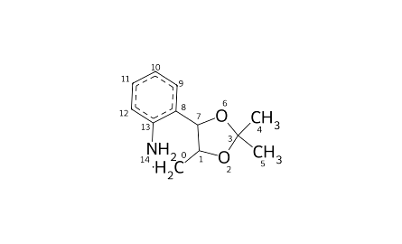 [CH2]C1OC(C)(C)OC1c1ccccc1N